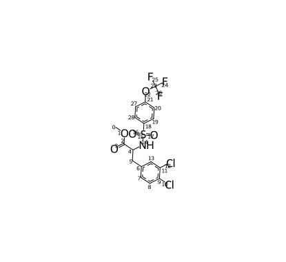 COC(=O)C(Cc1ccc(Cl)c(Cl)c1)NS(=O)(=O)c1ccc(OC(F)(F)F)cc1